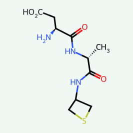 C[C@@H](NC(=O)[C@@H](N)CC(=O)O)C(=O)NC1CSC1